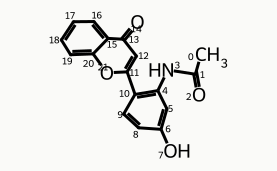 CC(=O)Nc1cc(O)ccc1-c1cc(=O)c2ccccc2o1